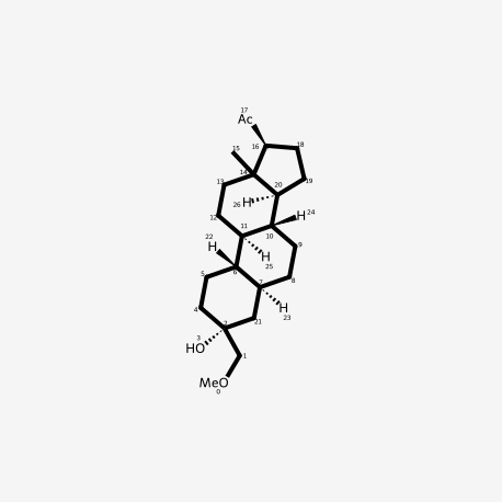 COC[C@@]1(O)CC[C@H]2[C@@H](CC[C@@H]3[C@@H]2CCC2(C)[C@@H](C(C)=O)CC[C@@H]32)C1